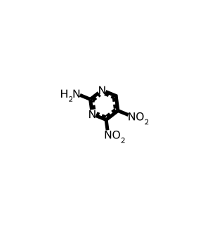 Nc1ncc([N+](=O)[O-])c([N+](=O)[O-])n1